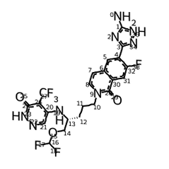 Nc1nc(-c2cc3ccn(CCC[C@H](COC(F)F)Nc4cn[nH]c(=O)c4C(F)(F)F)c(=O)c3cc2F)n[nH]1